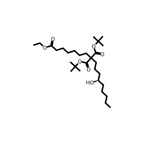 CCCCC[C@@H](O)CCCC(CCCCCCC(=O)OCC)(C(=O)OC(C)(C)C)C(=O)OC(C)(C)C